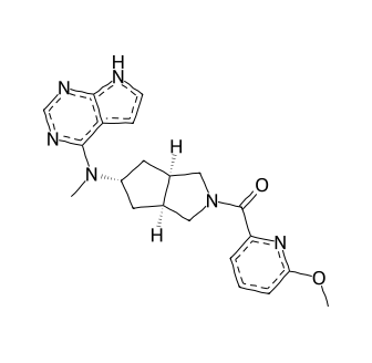 COc1cccc(C(=O)N2C[C@H]3C[C@H](N(C)c4ncnc5[nH]ccc45)C[C@H]3C2)n1